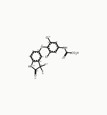 O=C(O)C(=O)Nc1cc(Cl)c(Oc2ccc3c(c2)C(F)(F)C(=O)N3)c(Cl)c1